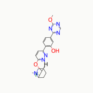 COc1ncnc(-c2ccc(-c3ccc(OC4C(F)C5CC[C@H]4CN5C)nn3)c(O)c2)n1